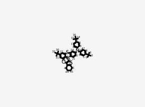 CC(C)(C)c1ccc(N(c2ccc(C(C)(C)C)cc2)c2ccc3c(c2)Sc2cc(C(C)(C)C)cc4c2B3c2sc3c(c2O4)CCCC3)cc1